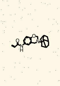 C=CC(=O)Nc1ccc2c(c1)CN(C13CC4CC(CC(C4)C1)C3)CO2